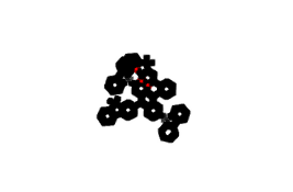 CC1(C)c2ccccc2-c2ccc(-c3ccccc3-c3c4ccc(-n5c6ccccc6c6ccccc65)cc4c(-c4ccc5c(c4)C(C)(C)c4ccccc4-5)c4ccc(-n5c6c(c7ccccc75)C=CCC6)cc34)cc21